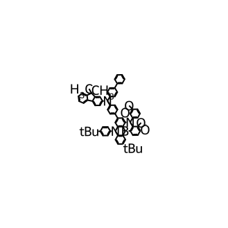 CC(C)(C)c1ccc(N2c3ccc(C(C)(C)C)cc3B3c4ccc5c(c4N(c4cccc6c4OCO6)c4cc(-c6ccc(N(c7ccc(-c8ccccc8)cc7)c7ccc8c(c7)C(C)(C)c7ccccc7-8)cc6)cc2c43)OCO5)cc1